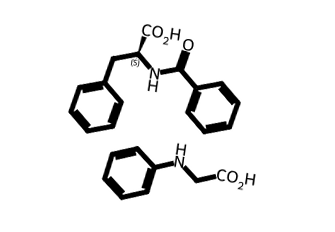 O=C(N[C@@H](Cc1ccccc1)C(=O)O)c1ccccc1.O=C(O)CNc1ccccc1